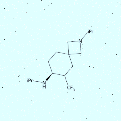 CC(C)N[C@H]1CCC2(CC1C(F)(F)F)CN(C(C)C)C2